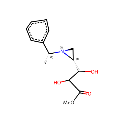 COC(=O)C(O)C(O)[C@H]1C[N@]1[C@H](C)c1ccccc1